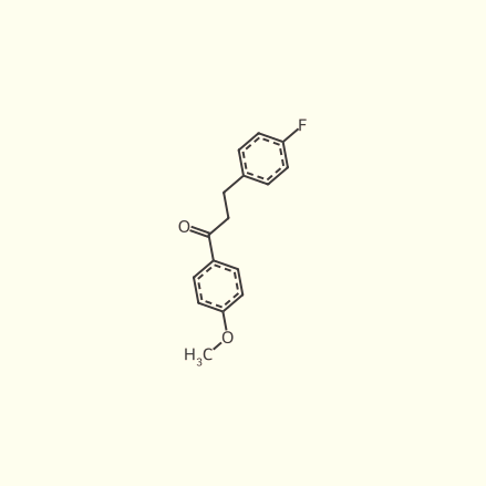 COc1ccc(C(=O)CCc2ccc(F)cc2)cc1